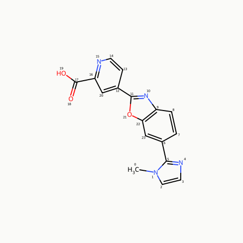 Cn1ccnc1-c1ccc2nc(-c3ccnc(C(=O)O)c3)oc2c1